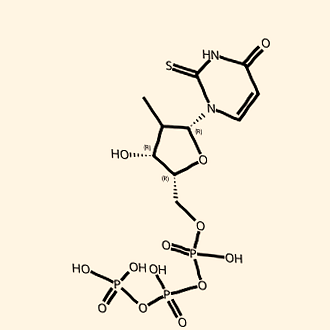 CC1[C@@H](O)[C@@H](COP(=O)(O)OP(=O)(O)OP(=O)(O)O)O[C@H]1n1ccc(=O)[nH]c1=S